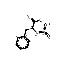 O=C(O)[C@H](Cc1ccccc1)N=S(=O)=O